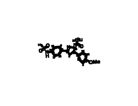 COc1ccc(C2CC(c3ccc(NS(C)(=O)=O)cc3)=NN2C(=O)C(C)(C)C)cc1